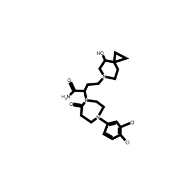 NC(=O)C(CCN1CCC2(CC2)C(O)C1)N1CCN(c2ccc(Cl)c(Cl)c2)CCC1=O